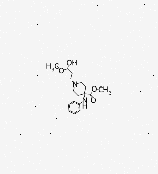 COC(=O)C1(Nc2ccccc2)CCN(CCC(O)OC)CC1